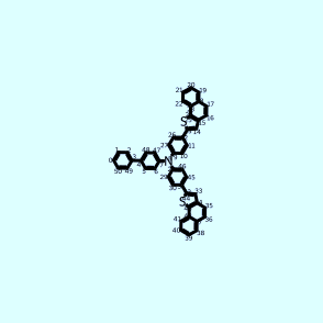 c1ccc(-c2ccc(N(c3ccc(-c4cc5ccc6ccccc6c5s4)cc3)c3ccc(-c4cc5ccc6ccccc6c5s4)cc3)cc2)cc1